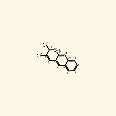 ClC1=Cc2cc3ccccc3cc2SC1Cl